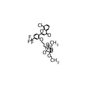 CCOC(=O)C(=O)N(CCCOc1cc(C(F)(F)F)ccc1-c1cc(=O)c2cccc(Cl)c2o1)S(=O)(=O)CC